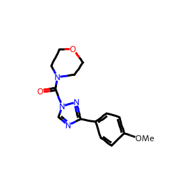 COc1ccc(-c2ncn(C(=O)N3CCOCC3)n2)cc1